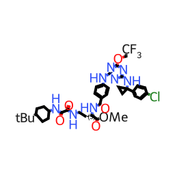 COC(=O)[C@H](CCNC(=O)C(=O)NC1CCC(C(C)(C)C)CC1)NC(=O)c1ccc(Nc2nc(NC3(c4ccc(Cl)cc4)CC3)nc(OCC(F)(F)F)n2)cc1